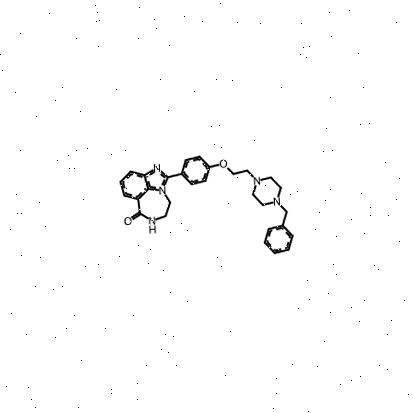 O=C1NCCn2c(-c3ccc(OCCN4CCN(Cc5ccccc5)CC4)cc3)nc3cccc1c32